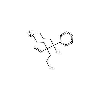 CCCCC(C)(c1ccccc1)C(C=O)(CCC)CCC